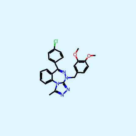 COc1ccc(CN2N=C(c3ccc(Cl)cc3)c3ccccc3-n3c(C)nnc32)cc1OC